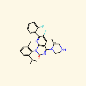 Cc1cccc(C(C)C)c1-n1c(=O)nc(N2CCNC[C@@H]2C)c2cc(F)c(-c3ccccc3F)nc21